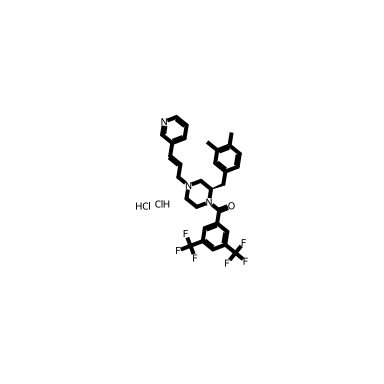 Cc1ccc(C[C@@H]2CN(C/C=C/c3cccnc3)CCN2C(=O)c2cc(C(F)(F)F)cc(C(F)(F)F)c2)cc1C.Cl.Cl